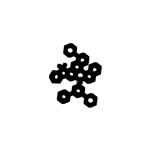 CC1(C)c2ccccc2-c2cc(N(c3cc(-c4ccccc4)cc(C4CCCCC4)c3)c3ccc4ccccc4c3-c3cccc4c(C5CCCCC5)cccc34)ccc21